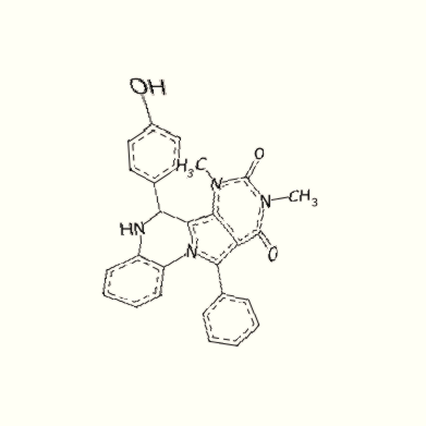 Cn1c(=O)c2c(-c3ccccc3)n3c(c2n(C)c1=O)C(c1ccc(O)cc1)Nc1ccccc1-3